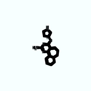 Nc1nc(O[C@H]2CCNC2)c2c(n1)=C1C=CCCC1CCC=2